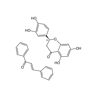 O=C(C=Cc1ccccc1)c1ccccc1.O=C1C[C@@H](c2ccc(O)c(O)c2)Oc2cc(O)cc(O)c21